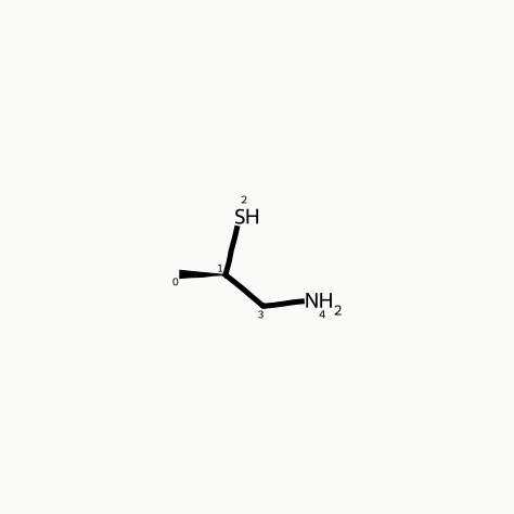 C[C@@H](S)CN